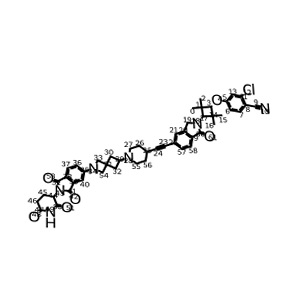 CC1(C)[C@H](Oc2ccc(C#N)c(Cl)c2)C(C)(C)[C@H]1N1Cc2cc(C#CC3CCN(C4CC5(C4)CN(c4ccc6c(c4)C(=O)N(C4CCC(=O)NC4=O)C6=O)C5)CC3)ccc2C1=O